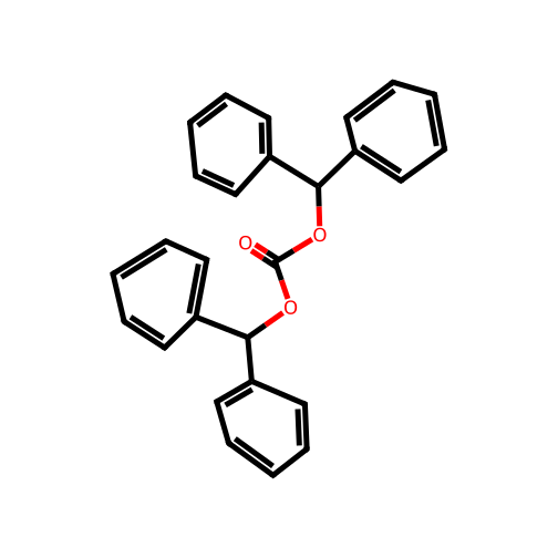 O=C(OC(c1ccccc1)c1ccccc1)OC(c1ccccc1)c1ccccc1